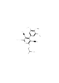 COc1cc(-c2c(C#N)c(N)nc(SCC(C)O)c2C#N)cc(O)c1OC